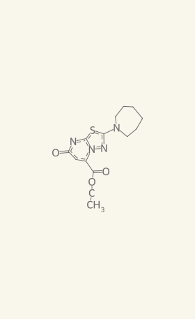 CCOC(=O)c1cc(=O)nc2sc(N3CCCCCC3)nn12